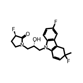 CC1(F)C=Cc2c(c3cc(F)ccc3n2C[C@@H](O)CN2CC[C@@H](F)C2=O)C1